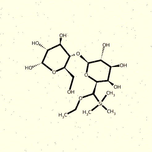 CCOC([C@H]1O[C@@H](O[C@H]2[C@H](O)[C@@H](O)[C@@H](O)O[C@@H]2CO)[C@H](O)[C@@H](O)[C@H]1O)[Si](C)(C)C